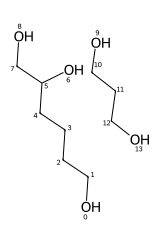 OCCCCC(O)CO.OCCCO